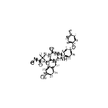 Cc1ccc(Oc2ccc(NC3NC(=O)N(CC(C)(C)C(=O)N=O)C(=O)N3Cc3ccc(Cl)cc3)cc2)cn1